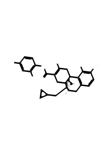 C[C@H]1C(O)=C(C(=O)Nc2ccc(C#N)cc2Cl)C[C@@]2(O)[C@H]3Cc4ccc(O)c(O)c4[C@@]12CCN3CC1CC1